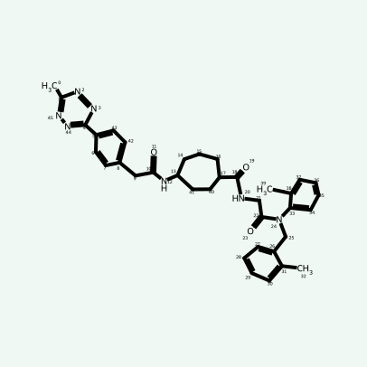 Cc1nnc(-c2ccc(CC(=O)NC3CCCC(C(=O)NCC(=O)N(Cc4ccccc4C)c4ccccc4C)CC3)cc2)nn1